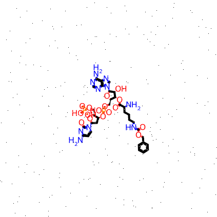 Nc1ccn(C2C[C@H](OP(=O)(O)OC[C@H]3O[C@@H](n4cnc5c(N)ncnc54)[C@H](O)[C@@H]3OC(=O)[C@@H](N)CCCCNC(=O)OCc3ccccc3)[C@@H](COP(=O)(O)O)O2)c(=O)n1